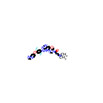 CN(C)C/C=C/C(=O)N1CCN2CC1COc1cc3ncnc(Nc4cc(F)c(Oc5ccn6ccnc6c5)cc4F)c3nc12